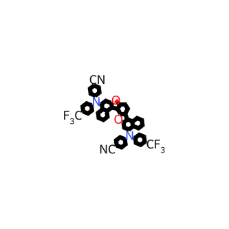 N#Cc1ccc(N(c2ccc(C(F)(F)F)cc2)c2cc3oc4c(ccc5oc6cc(N(c7ccc(C#N)cc7)c7ccc(C(F)(F)F)cc7)c7ccccc7c6c54)c3c3ccccc23)cc1